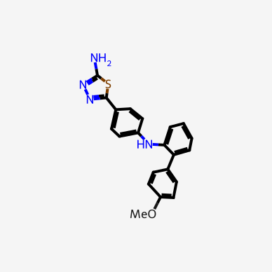 COc1ccc(-c2ccccc2Nc2ccc(-c3nnc(N)s3)cc2)cc1